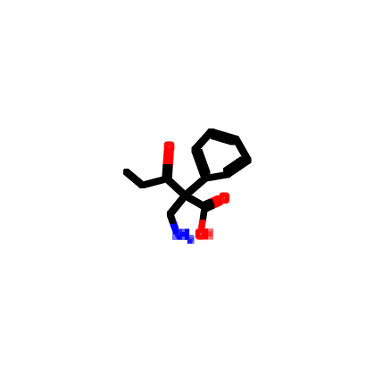 CCC(=O)C(CN)(C(=O)O)c1ccccc1